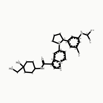 O=C(NC1CCC(O)(CO)CC1)c1cnn2ccc(N3CCCC3c3cc(F)cc(OC(F)F)c3)cc12